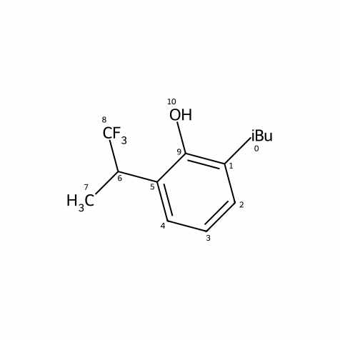 CCC(C)c1cccc(C(C)C(F)(F)F)c1O